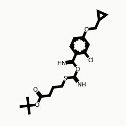 CC(C)(C)OC(=O)CCCSC(=N)OC(=N)c1ccc(OCC2CC2)cc1Cl